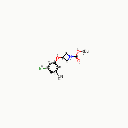 CC(C)(C)OC(=O)N1CC(Oc2cc(Br)cc(C#N)c2)C1